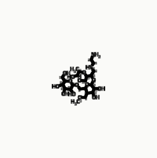 COCC1C(COC2OC(CO)C(O)C(O)C2O)OC(OC(CNCCN)C(CO)OC(C)CO)C(O)C1O